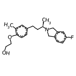 Cc1cc(CC[C@@H](C)N2Cc3ccc(F)cc3C2)ccc1OCCO